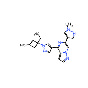 Cn1cc(-c2cn3nccc3c(-c3cnn(C4(CC#N)CC(C#N)C4)c3)n2)cn1